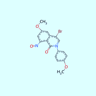 COc1ccc(-n2cc(Br)c3cc(OC)cc(N=O)c3c2=O)cc1